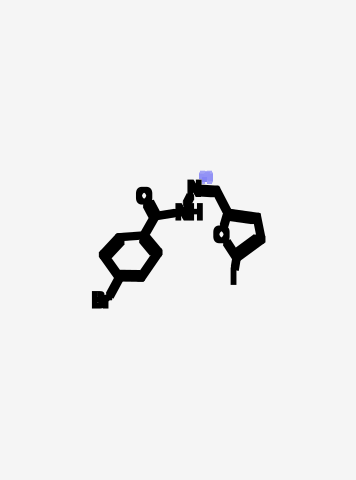 O=C(N/N=C\c1ccc(I)o1)c1ccc(Br)cc1